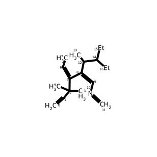 C=CC(C)(C)C(=C/C)/C(=C\N=C)C(C)C(CC)CC